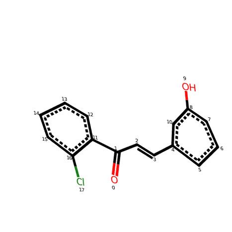 O=C(C=Cc1cccc(O)c1)c1ccccc1Cl